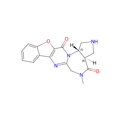 CN1Cc2nc3c(oc4ccccc43)c(=O)n2[C@@H]2CNC[C@H]2C1=O